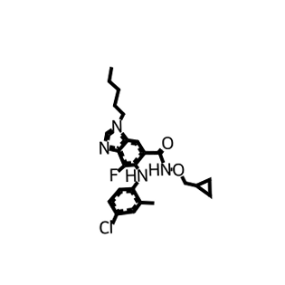 CCCCCn1cnc2c(F)c(Nc3ccc(Cl)cc3C)c(C(=O)NOCC3CC3)cc21